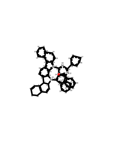 C1=CC2=C(C=CC3C2c2ccc4c5c6ccccc6ccc5n(-c5nc(-c6ccccc6)nc(-c6ccccc6)n5)c4c2N3c2ccc3ccccc3c2)CC1